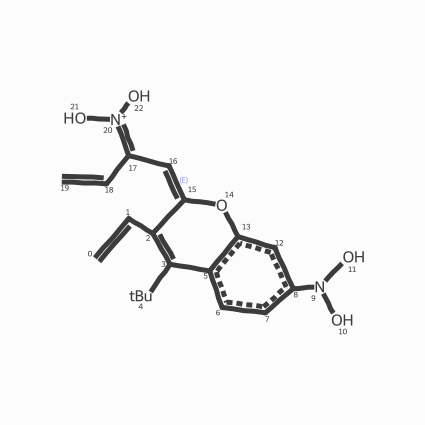 C=CC1=C(C(C)(C)C)c2ccc(N(O)O)cc2O/C1=C/C(C=C)=[N+](O)O